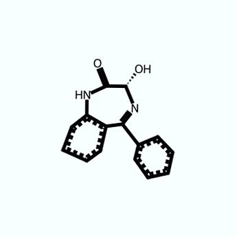 O=C1Nc2ccccc2C(c2ccccc2)=N[C@H]1O